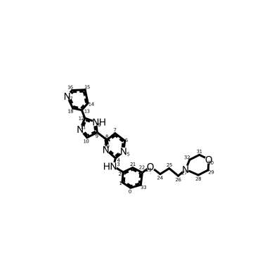 c1cc(Nc2nccc(-c3cnc(-c4cccnc4)[nH]3)n2)cc(OCCCN2CCOCC2)c1